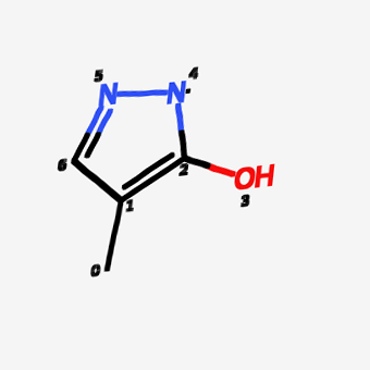 CC1=C(O)[N]N=C1